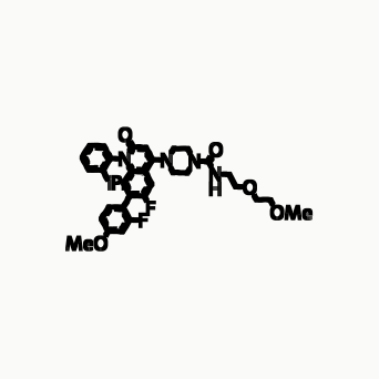 COCCOCCNC(=O)N1CCN(c2cc(=O)n(-c3ccccc3C(C)C)c3cc(-c4ccc(OC)cc4F)c(F)cc23)CC1